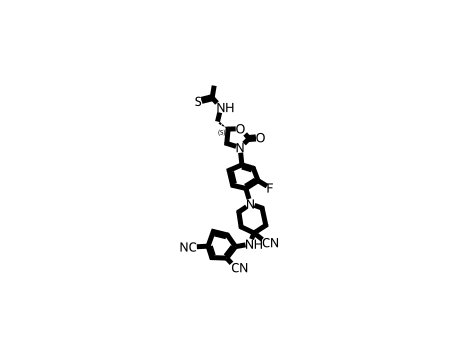 CC(=S)NC[C@H]1CN(c2ccc(N3CCC(C#N)(Nc4ccc(C#N)cc4C#N)CC3)c(F)c2)C(=O)O1